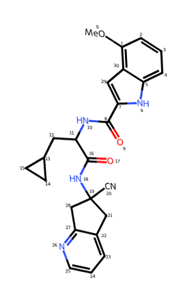 COc1cccc2[nH]c(C(=O)NC(CC3CC3)C(=O)NC3(C#N)Cc4cccnc4C3)cc12